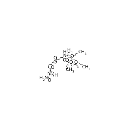 CCCCOCC(OC)[C@H](OCCCC)C(OCCCC)C(C)NC(=O)CCC(=O)OC[C@@H]1CC[C@H](N2CNC(C(N)=O)=N2)O1